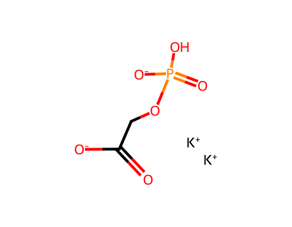 O=C([O-])COP(=O)([O-])O.[K+].[K+]